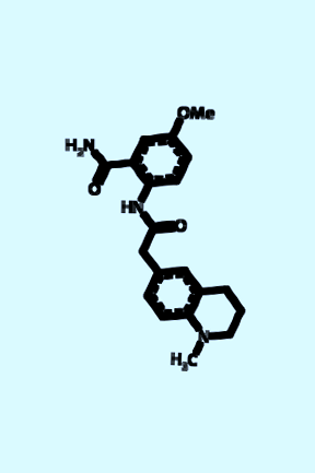 COc1ccc(NC(=O)Cc2ccc3c(c2)CCCN3C)c(C(N)=O)c1